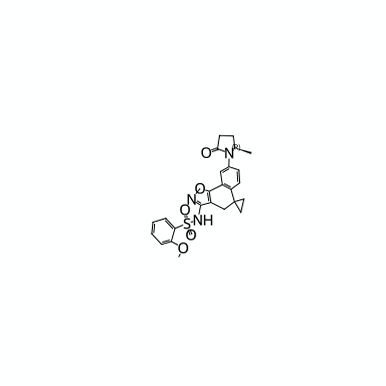 COc1ccccc1S(=O)(=O)Nc1noc2c1CC1(CC1)c1ccc(N3C(=O)CC[C@H]3C)cc1-2